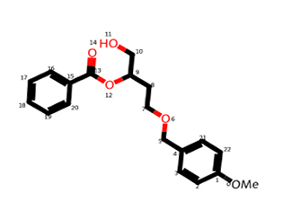 COc1ccc(COCCC(CO)OC(=O)c2ccccc2)cc1